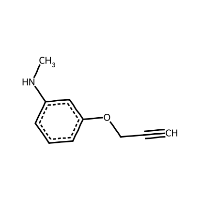 C#CCOc1cccc(NC)c1